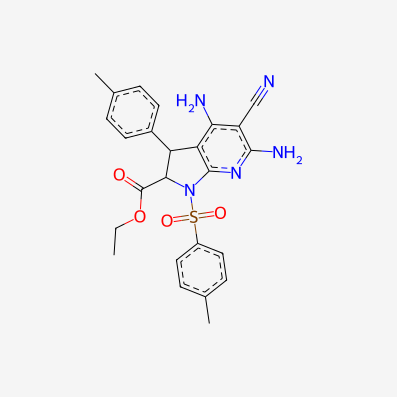 CCOC(=O)C1C(c2ccc(C)cc2)c2c(nc(N)c(C#N)c2N)N1S(=O)(=O)c1ccc(C)cc1